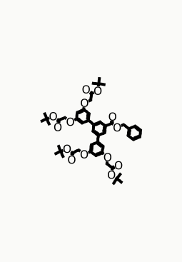 CC(C)(C)OC(=O)COc1cc(OCC(=O)OC(C)(C)C)cc(-c2cc(C(=O)OCc3ccccc3)cc(-c3cc(OCC(=O)OC(C)(C)C)cc(OCC(=O)OC(C)(C)C)c3)c2)c1